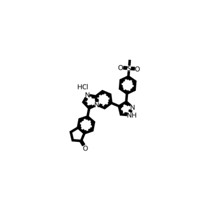 CS(=O)(=O)c1ccc(-c2n[nH]cc2-c2ccc3ncc(-c4ccc5c(c4)CCC5=O)n3c2)cc1.Cl